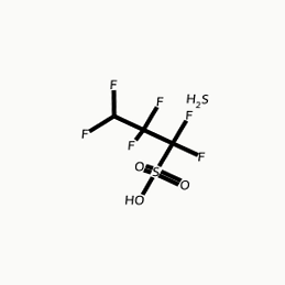 O=S(=O)(O)C(F)(F)C(F)(F)C(F)F.S